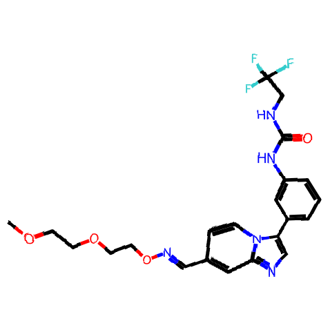 COCCOCCON=Cc1ccn2c(-c3cccc(NC(=O)NCC(F)(F)F)c3)cnc2c1